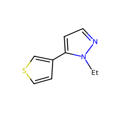 CCn1nccc1-c1ccsc1